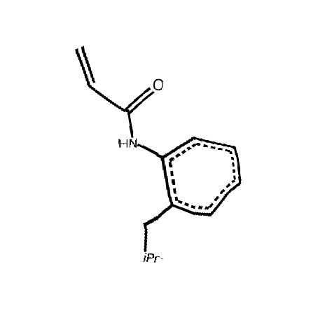 C=CC(=O)Nc1ccccc1C[C](C)C